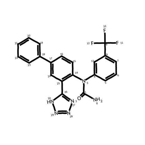 NC(=O)N(c1cccc(C(F)(F)F)c1)c1ccc(-c2ccccc2)cc1-c1nnn[nH]1